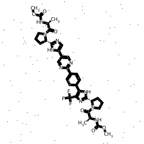 COC(=O)N[C@@H](C)C(=O)N1CCC[C@H]1c1ncc(-c2cnc(C3=CCC(c4[nH]c([C@@H]5CCCN5C(=O)[C@H](C)NC(=O)OC)nc4C(F)(F)F)C=C3)nc2)[nH]1